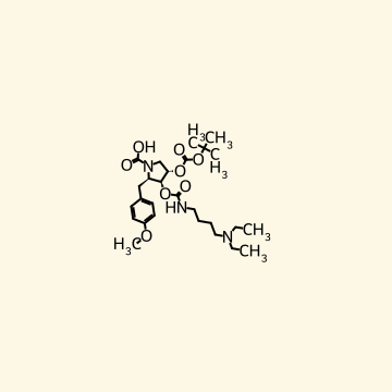 CCN(CC)CCCCNC(=O)O[C@@H]1[C@@H](OC(=O)OC(C)(C)C)CN(C(=O)O)[C@@H]1Cc1ccc(OC)cc1